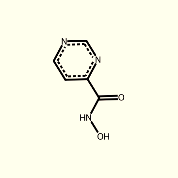 O=C(NO)c1ccncn1